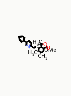 CO[C@@]12C[C@H](C)[C@@H](C)[C@H](/C=C/c3ccc(-c4ccccc4)cn3)[C@@H]1[C@@H](C)OC2=O